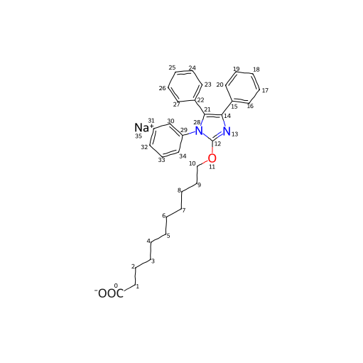 O=C([O-])CCCCCCCCCCOc1nc(-c2ccccc2)c(-c2ccccc2)n1-c1ccccc1.[Na+]